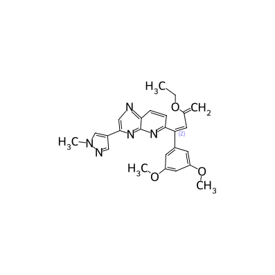 C=C(/C=C(/c1cc(OC)cc(OC)c1)c1ccc2ncc(-c3cnn(C)c3)nc2n1)OCC